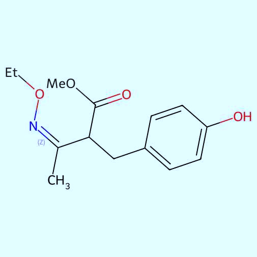 CCO/N=C(/C)C(Cc1ccc(O)cc1)C(=O)OC